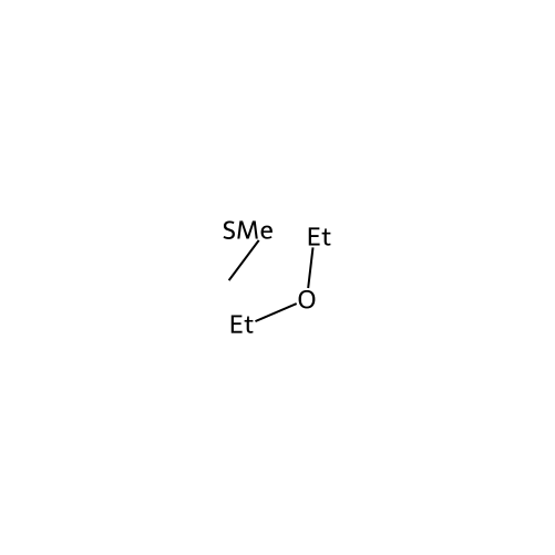 CCOCC.CSC